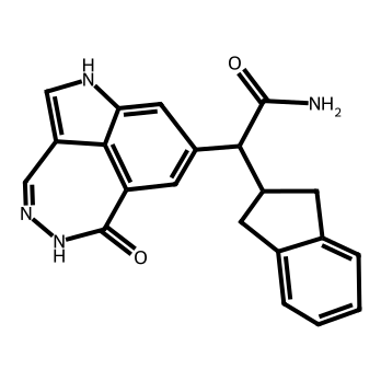 NC(=O)C(c1cc2c3c(c[nH]c3c1)C=NNC2=O)C1Cc2ccccc2C1